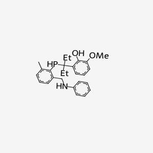 CCC(CC)(Pc1c(C)cccc1CNc1ccccc1)c1cccc(OC)c1O